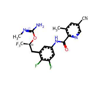 C/N=C(/N)O[C@@H](Cc1cc(NC(=O)c2ncc(C#N)cc2C)cc(F)c1F)C(F)(F)F